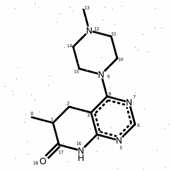 CC1Cc2c(ncnc2N2CCN(C)CC2)NC1=O